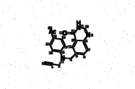 C#CCN(Cc1ccc2nc[nH]c(=O)c2c1)c1ccc(C(C)=O)cc1